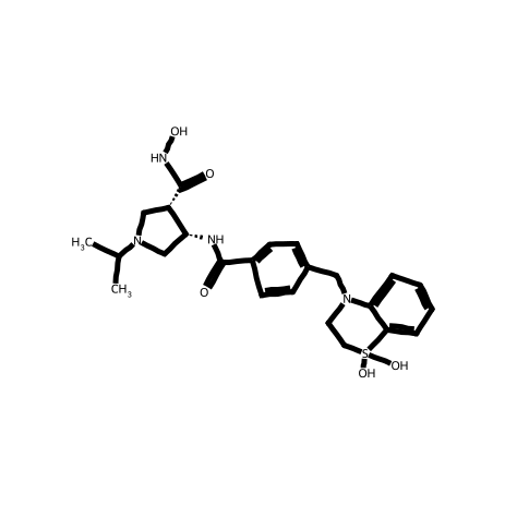 CC(C)N1C[C@H](C(=O)NO)[C@H](NC(=O)c2ccc(CN3CCS(O)(O)c4ccccc43)cc2)C1